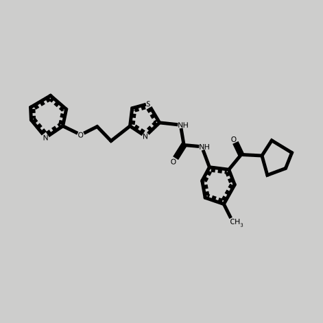 Cc1ccc(NC(=O)Nc2nc(CCOc3ccccn3)cs2)c(C(=O)C2CCCC2)c1